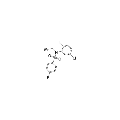 CC(C)CN(c1cc(Cl)ccc1F)S(=O)(=O)c1ccc(F)cc1